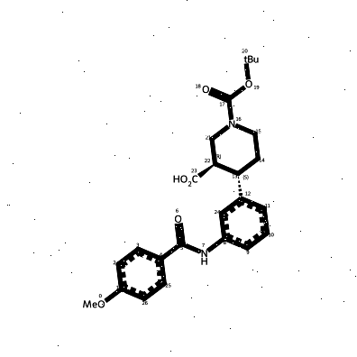 COc1ccc(C(=O)Nc2cccc([C@H]3CCN(C(=O)OC(C)(C)C)C[C@@H]3C(=O)O)c2)cc1